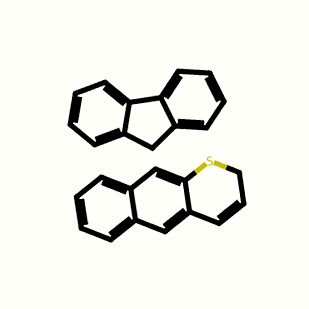 C1=Cc2cc3ccccc3cc2SC1.c1ccc2c(c1)Cc1ccccc1-2